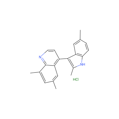 Cc1ccc2[nH]c(C)c(-c3ccnc4c(C)cc(C)cc34)c2c1.Cl